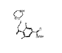 C=C(CC[C@H]1CNCCO1)c1c(C)cc(C(=O)OC)cc1F